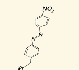 CC(C)Cc1ccc(N=Nc2ccc([N+](=O)[O-])cc2)cc1